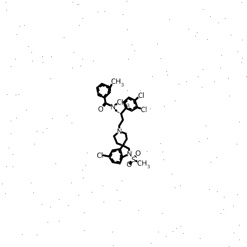 Cc1cccc(C(=O)N(C)C[C@@H](CCN2CCC3(CC2)CN(S(C)(=O)=O)c2ccc(Cl)cc23)c2ccc(Cl)c(Cl)c2)c1